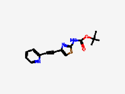 CC(C)(C)OC(=O)Nc1nc(C#Cc2ccccn2)cs1